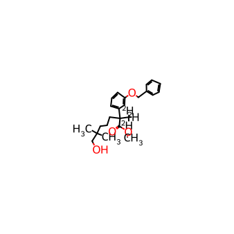 [2H]C([2H])([2H])C(CCCC(C)(C)CO)(C(=O)OC)c1cccc(OCc2ccccc2)c1